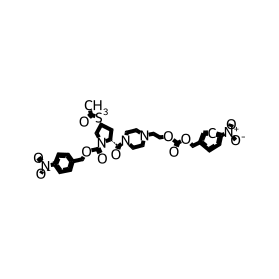 CC(=O)S[C@@H]1C[C@H](C(=O)N2CCN(CCOC(=O)OCc3ccc([N+](=O)[O-])cc3)CC2)N(C(=O)OCc2ccc([N+](=O)[O-])cc2)C1